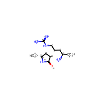 N=C(N)NCCC[C@H](N)C(=O)O.O=C1CC[C@@H](C(=O)O)N1